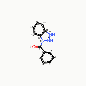 O=C(c1ccccc1)N1NNc2ccccc21